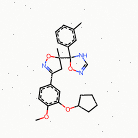 COc1ccc(C2=NOC(C)(C3(c4cccc(C)c4)NC=NO3)C2)cc1OC1CCCC1